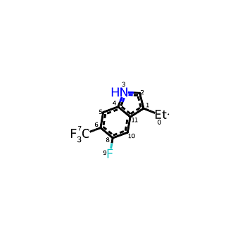 C[CH]c1c[nH]c2cc(C(F)(F)F)c(F)cc12